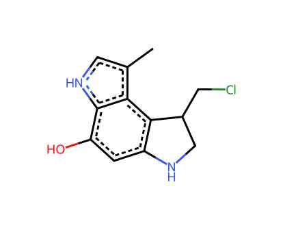 Cc1c[nH]c2c(O)cc3c(c12)C(CCl)CN3